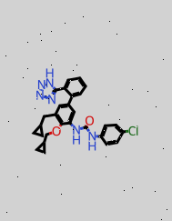 O=C(Nc1ccc(Cl)cc1)Nc1cc(-c2ccccc2-c2nnn[nH]2)cc(CC2CC2)c1OCC1CC1